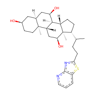 CC(CCc1nc2ncccc2s1)[C@H]1CC[C@H]2[C@@H]3[C@H](O)C[C@@H]4C[C@H](O)CC[C@]4(C)[C@H]3C[C@H](O)[C@]12C